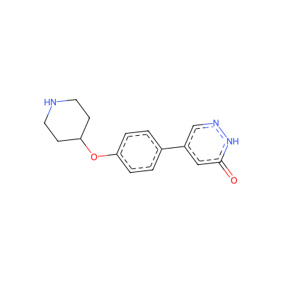 O=c1cc(-c2ccc(OC3CCNCC3)cc2)cn[nH]1